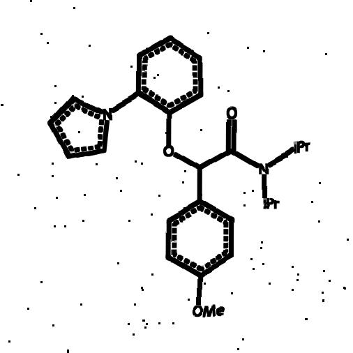 COc1ccc(C(Oc2ccccc2-n2cccc2)C(=O)N(C(C)C)C(C)C)cc1